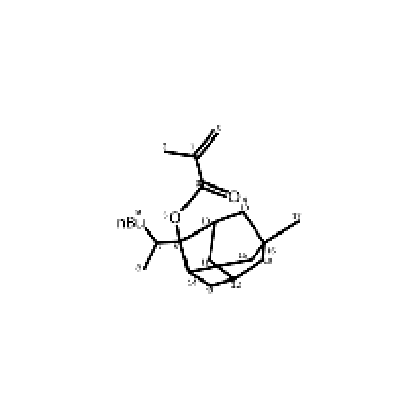 C=C(C)C(=O)OC1(C(C)CCCC)C2CC3CC1CC(C)(C3)C2